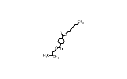 CCCCCCCOC(=O)C1CCC(C(=O)OCCC(C)C)CC1